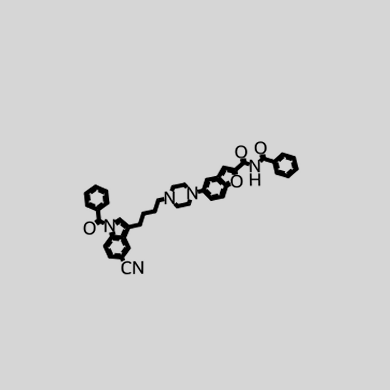 N#Cc1ccc2c(c1)c(CCCCN1CCN(c3ccc4oc(C(=O)NC(=O)c5ccccc5)cc4c3)CC1)cn2C(=O)c1ccccc1